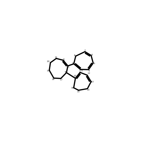 [C]1=C(/C2=CC=CC=CC2)C(C2=CC=CCCC2)CCCCC/1